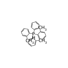 Cc1ccccc1[PH](c1ccccc1)(c1ccccc1C)c1ccccc1C